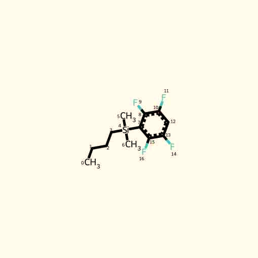 CCCC[Si](C)(C)c1c(F)c(F)cc(F)c1F